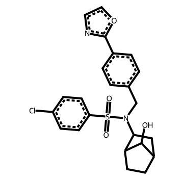 O=S(=O)(c1ccc(Cl)cc1)N(Cc1ccc(-c2ncco2)cc1)C1CC2CCC1C2O